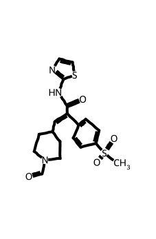 CS(=O)(=O)c1ccc(/C(=C\C2CCN(C=O)CC2)C(=O)Nc2nccs2)cc1